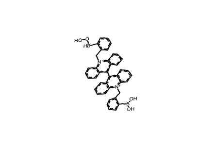 OOBc1ccccc1C[n+]1c2ccccc2c(-c2c3ccccc3[n+](Cc3ccccc3B(O)O)c3ccccc23)c2ccccc21